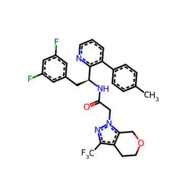 Cc1ccc(-c2cccnc2[C@H](Cc2cc(F)cc(F)c2)NC(=O)Cn2nc(C(F)(F)F)c3c2COCC3)cc1